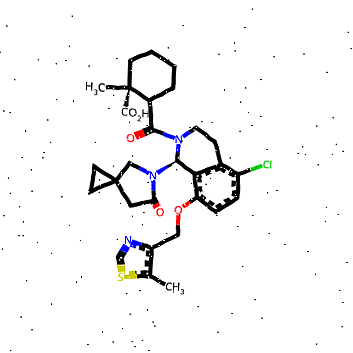 Cc1scnc1COc1ccc(Cl)c2c1[C@@H](N1CC3(CC3)CC1=O)N(C(=O)C1CCCC[C@]1(C)C(=O)O)CC2